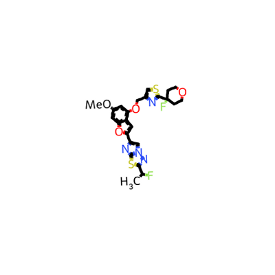 COc1cc(OCc2csc(C3(F)CCOCC3)n2)c2cc(-c3cn4nc(C(C)F)sc4n3)oc2c1